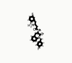 CN(C(=O)C[C@H](N)Cc1cc(F)ccc1F)C1Cc2ccccc2N(Cc2ccc(F)cc2)C1=O